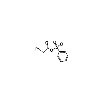 CC(C)CC(=O)OS(=O)(=O)c1ccccc1